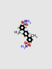 Cc1ccc(S(N)(=O)=O)cc1C1C=CC(c2cc(S(N)(=O)=O)ccc2C)C=C1